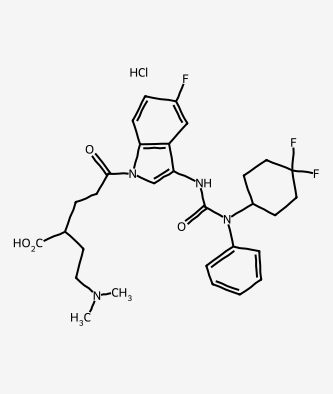 CN(C)CCC(CCC(=O)n1cc(NC(=O)N(c2ccccc2)C2CCC(F)(F)CC2)c2cc(F)ccc21)C(=O)O.Cl